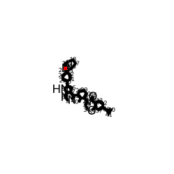 Cc1c(-c2ncnc3[nH]c(-c4ccc(CN5C6CCC5CN(C)C6)cc4)cc23)cccc1N1CCOc2cc(C3CC3)ccc2C1=O